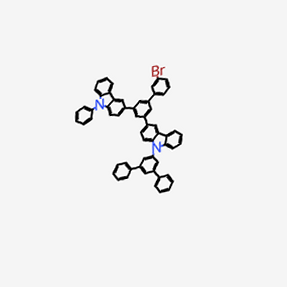 Brc1cccc(-c2cc(-c3ccc4c(c3)c3ccccc3n4-c3ccccc3)cc(-c3ccc4c(c3)c3ccccc3n4-c3cc(-c4ccccc4)cc(-c4ccccc4)c3)c2)c1